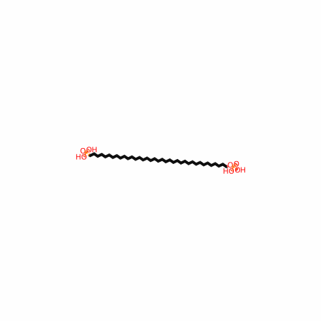 O=P(O)(O)CCCCCCCCCCCCCCCCCCCCCCCCCCCCCCCCCCCCCOP(=O)(O)O